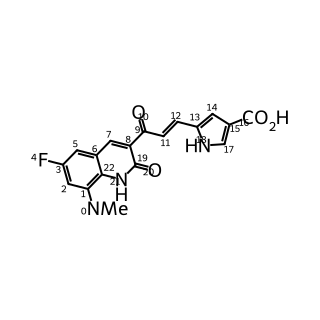 CNc1cc(F)cc2cc(C(=O)C=Cc3cc(C(=O)O)c[nH]3)c(=O)[nH]c12